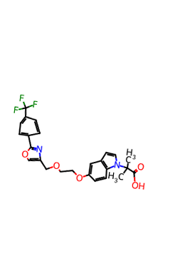 CC(C)(C(=O)O)n1ccc2cc(OCCOCc3coc(-c4ccc(C(F)(F)F)cc4)n3)ccc21